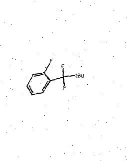 CC(C)(C)C(F)(F)c1ccccc1F